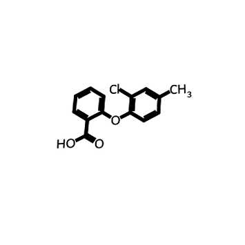 Cc1ccc(Oc2ccccc2C(=O)O)c(Cl)c1